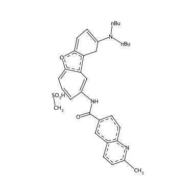 CCCCN(CCCC)C1=CC=c2oc3c(c2C1)C=C(NC(=O)c1ccc2nc(C)ccc2c1)C=CC=3.CS(=O)(=O)O